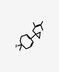 CC(C)=C(C)CC1(C2=C/CCC(C)(F)C/C=C\2)CC1